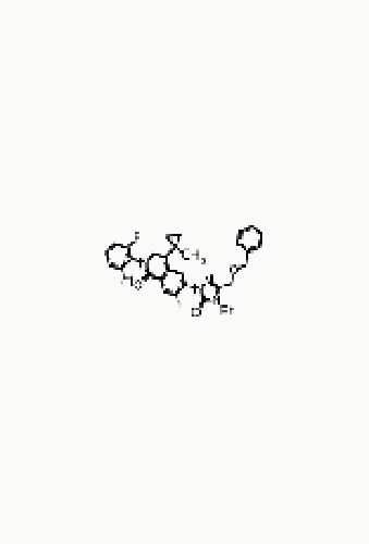 CCn1c(COCc2ccccc2)nn(-c2cc3c(C4(C)CC4)cn(-c4c(F)cccc4Cl)c(=O)c3cc2F)c1=O